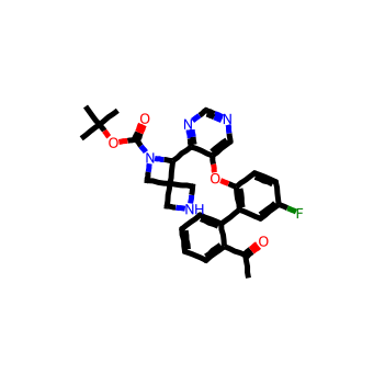 CC(=O)c1ccccc1-c1cc(F)ccc1Oc1cncnc1C1N(C(=O)OC(C)(C)C)CC12CNC2